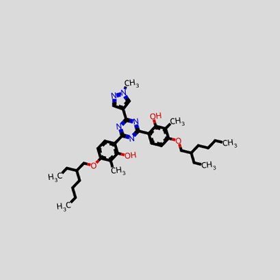 CCCCC(CC)COc1ccc(-c2nc(-c3cnn(C)c3)nc(-c3ccc(OCC(CC)CCCC)c(C)c3O)n2)c(O)c1C